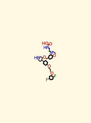 O=C(O)NCCN1CCOc2ccc(COC3CNCCC3c3ccc(OCCCOc4cc(F)ccc4F)cc3)cc21